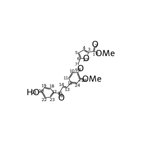 COC(=O)c1ccc(COc2ccc(/C=C/C(=O)c3ccc(O)cc3)cc2OC)o1